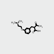 CC(=O)C(Cc1cccc(OCCN(C)C)c1)C(=O)O